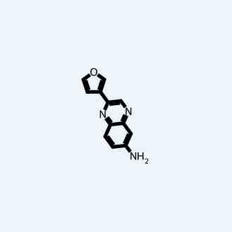 Nc1ccc2nc(-c3ccoc3)cnc2c1